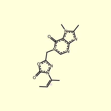 C/C=C(/C)n1nc(Cn2cnc3nc(C)n(C)c3c2=O)oc1=O